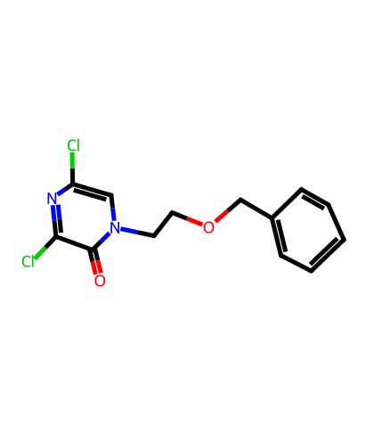 O=c1c(Cl)nc(Cl)cn1CCOCc1ccccc1